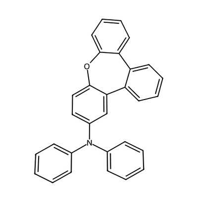 c1ccc(N(c2ccccc2)c2ccc3c(c2)-c2ccccc2-c2ccccc2O3)cc1